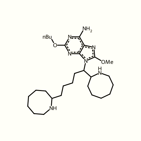 CCCCOc1nc(N)c2nc(OC)n(C(CCCCC3CCCCCCN3)C3CCCCCCN3)c2n1